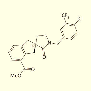 COC(=O)c1cccc2c1C[C@]1(CCN(Cc3ccc(Cl)c(C(F)(F)F)c3)C1=O)C2